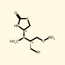 CC(C)C[C@@H](CO[N+](=O)[O-])N(C(=O)O)[C@@H]1CSC(=O)N1